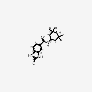 CC1(C)CC(NC(=O)c2ccc3[nH]c(=O)[nH]c3c2)CC(C)(C)N1